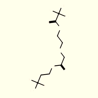 CCC(C)(C)C(=O)OCCOCC(=O)OCCC(C)(F)F